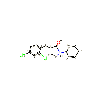 O=C1C(Cc2ccc(Cl)cc2Cl)CCN1C1C=CCCC1